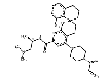 C=CC(=O)N1CCN(c2nc(C(=O)N[C@H](C)CN(C)C)nc3c2CCC2(CCCc4cccc(C)c42)O3)CC1